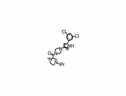 CC(C)N1CCN(C)C(C(=O)N2CCN(c3cc(-c4cc(Cl)cc(Cl)c4)[nH]n3)CC2)C1